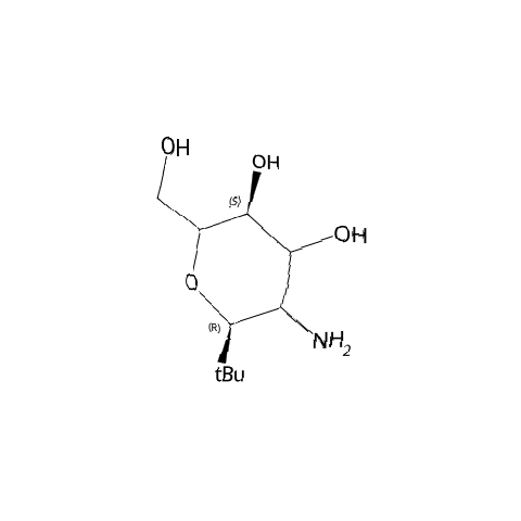 CC(C)(C)[C@H]1OC(CO)[C@@H](O)C(O)C1N